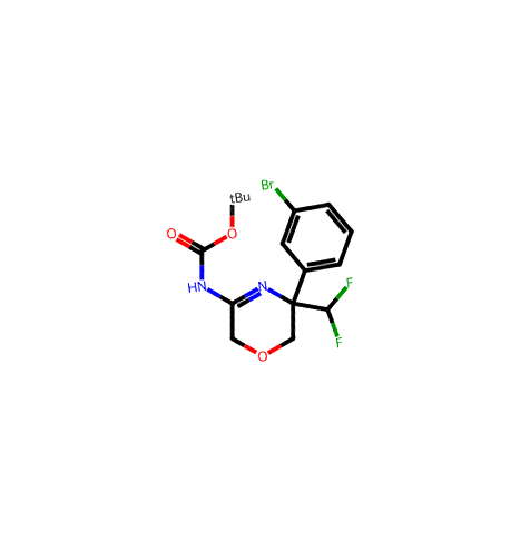 CC(C)(C)OC(=O)NC1=NC(c2cccc(Br)c2)(C(F)F)COC1